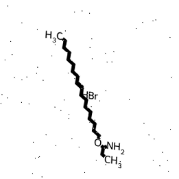 Br.CCCCCCCCC=CCCCCCCCCOC(N)CC